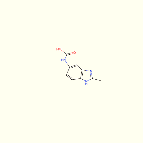 Cc1nc2cc(NC(=O)O)ccc2[nH]1